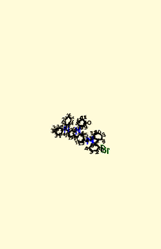 Brc1cccc2c1c1ccccc1n2-c1ccc2c3ccc(N(c4ccccc4)c4ccccc4)cc3n(-c3ccccc3)c2c1